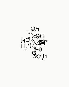 N[C@H](C(=O)OS(=O)(=O)O)[C@@H](O)[C@H](O)[C@H](O)CO.[Cl-].[Na+]